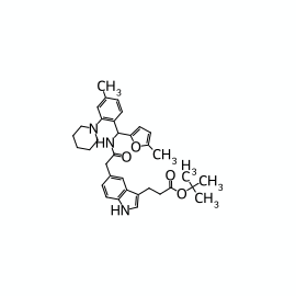 Cc1ccc(C(NC(=O)Cc2ccc3[nH]cc(CCC(=O)OC(C)(C)C)c3c2)c2ccc(C)o2)c(N2CCCCC2)c1